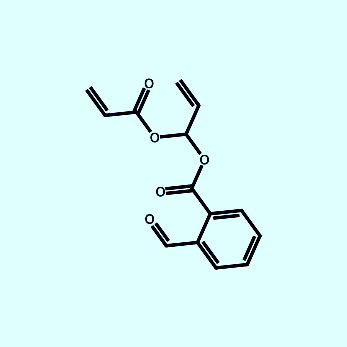 C=CC(=O)OC(C=C)OC(=O)c1ccccc1C=O